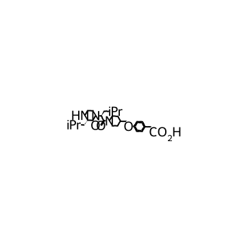 CC(C)C[C@@H]1NCCN([C@@H](CC(C)C)C(=O)N2CCC(COc3ccc(CC(=O)O)cc3)CC2)C1=O